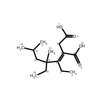 CCC(=C(CC(=O)O)C(=O)O)C(C)(CC)CC(C)C